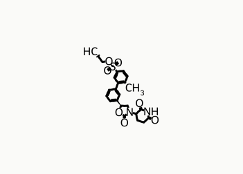 C#CCOS(=O)(=O)c1ccc(C)c(-c2cccc([C@H]3CN(C4CCC(=O)NC4=O)C(=O)O3)c2)c1